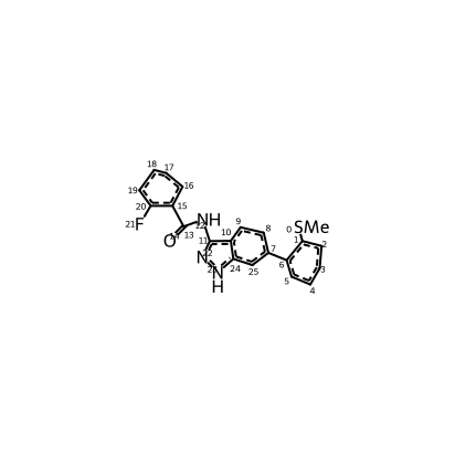 CSc1ccccc1-c1ccc2c(NC(=O)c3ccccc3F)n[nH]c2c1